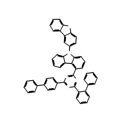 c1ccc(-c2ccc(-c3nc(-c4ccccc4-c4ccccc4)nc(-c4cccc5c4c4ccccc4n5-c4ccc5oc6ccccc6c5c4)n3)cc2)cc1